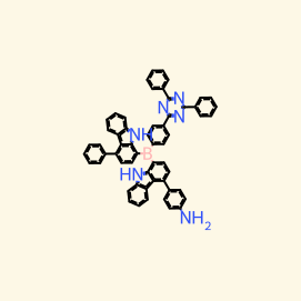 Nc1ccc(-c2ccc(B(c3ccc(-c4nc(-c5ccccc5)nc(-c5ccccc5)n4)cc3)c3ccc(-c4ccccc4)c4c3[nH]c3ccccc34)c3[nH]c4ccccc4c23)cc1